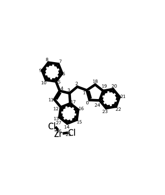 C1=C(CC2C(c3ccccc3)=Cc3ccccc32)Cc2ccccc21.[Cl][Zr][Cl]